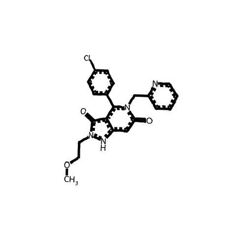 COCCn1[nH]c2cc(=O)n(Cc3ccccn3)c(-c3ccc(Cl)cc3)c2c1=O